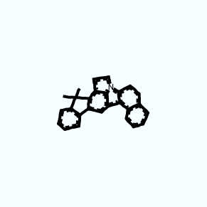 CC1(C)c2ccccc2-c2cc3c4c5ccccc5ccc4n4ccc(c21)c34